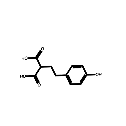 O=C(O)C(CCc1ccc(O)cc1)C(=O)O